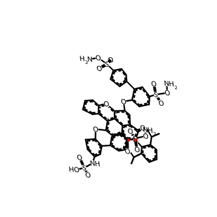 CC(C)c1cccc(C(C)C)c1-n1c(=O)c2cc(Oc3ccc(S(=O)(=O)ON)cc3-c3ccc(S(=O)(=O)ON)cc3)c3oc4ccccc4c4c(Oc5ccc(NS(=O)(=O)O)cc5-c5ccc(S(=O)(=O)ON)cc5)cc(c1=O)c2c34